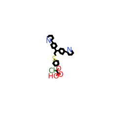 O=C(O)C(Cl)Oc1ccc(SCC=C(c2ccc(-c3ccccn3)cc2)c2ccc(-c3ccccn3)cc2)cc1